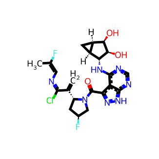 C=C(/C(Cl)=N\C=C(/C)F)[C@H]1C[C@H](F)CN1C(=O)c1n[nH]c2ncnc(N[C@H]3[C@H](O)[C@H](O)[C@@H]4C[C@@H]43)c12